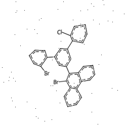 Clc1ccccc1-c1cc(-c2ccccc2Br)cc(-c2c(Br)c3ccccc3c3ccccc23)c1